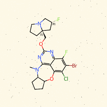 CN1c2nc(OC[C@@]34CCCN3C[C@H](F)C4)nc3c(F)c(Br)c(Cl)c(c23)OC2CCCC21